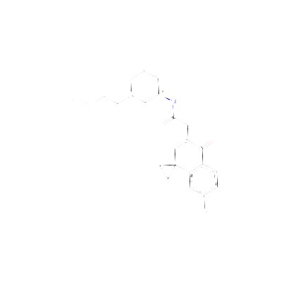 COCCN1CCC[C@@H](NC(=O)CN2CC3(CC3)c3cc(Br)ccc3C2=O)C1